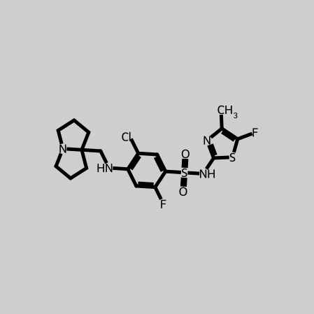 Cc1nc(NS(=O)(=O)c2cc(Cl)c(NCC34CCCN3CCC4)cc2F)sc1F